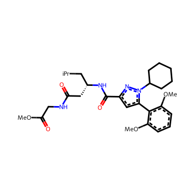 COC(=O)CNC(=O)C[C@H](CC(C)C)NC(=O)c1cc(-c2c(OC)cccc2OC)n(C2CCCCC2)n1